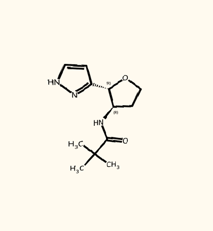 CC(C)(C)C(=O)N[C@@H]1CCO[C@H]1c1cc[nH]n1